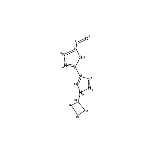 O=Cc1nnc(-c2cnn(C3CCC3)c2)o1